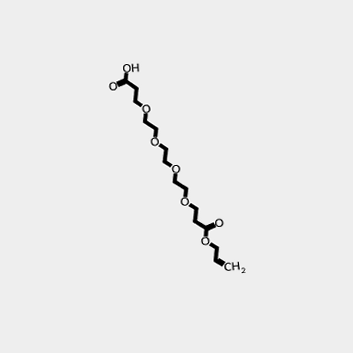 C=CCOC(=O)CCOCCOCCOCCOCCC(=O)O